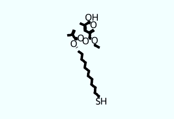 C=C(C)C(=O)OC.C=C(C=C(C)C(=O)O)C(=O)OCC.CCCCCCCCCCCCS